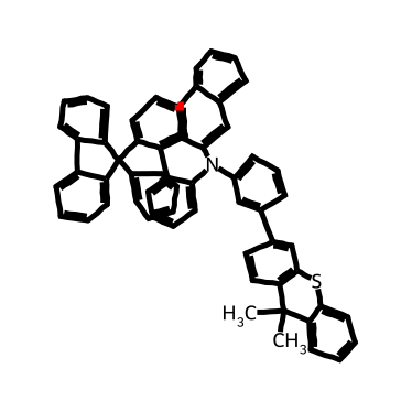 CC1(C)c2ccccc2Sc2cc(-c3cccc(N(c4ccc5ccccc5c4)c4ccccc4-c4ccccc4C4(c5ccccc5)c5ccccc5-c5ccccc54)c3)ccc21